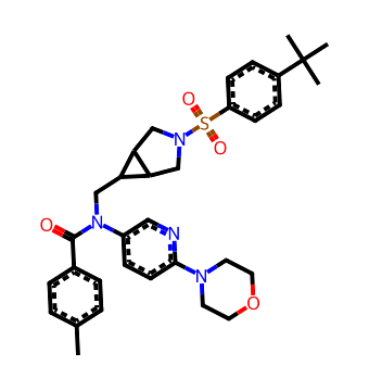 Cc1ccc(C(=O)N(CC2C3CN(S(=O)(=O)c4ccc(C(C)(C)C)cc4)CC23)c2ccc(N3CCOCC3)nc2)cc1